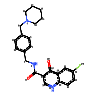 O=C(NCc1ccc(CN2CCCCC2)cc1)c1c[nH]c2ccc(F)cc2c1=O